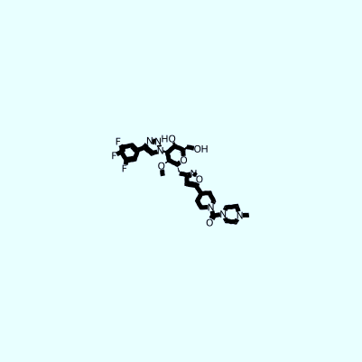 CO[C@@H]1[C@@H](n2cc(-c3cc(F)c(F)c(F)c3)nn2)[C@@H](O)[C@@H](CO)O[C@@H]1Cc1cc(C2CCN(C(=O)N3CCN(C)CC3)CC2)on1